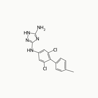 Cc1ccc(-c2c(Cl)cc(Nc3n[nH]c(N)n3)cc2Cl)cc1